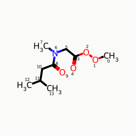 COOC(=O)CN(C)C(=O)CC(C)C